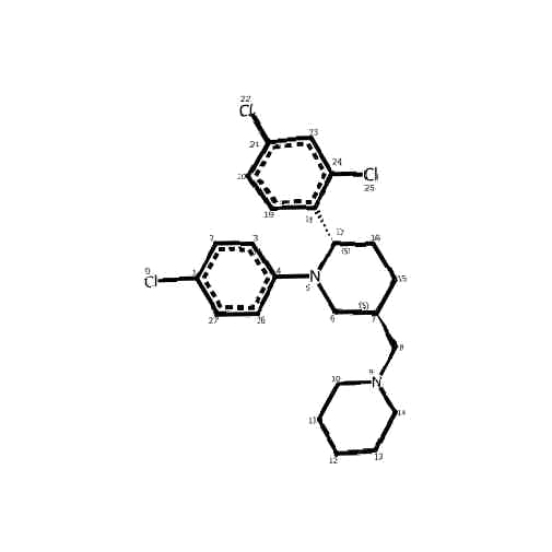 Clc1ccc(N2C[C@H](CN3CCCCC3)CC[C@H]2c2ccc(Cl)cc2Cl)cc1